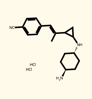 C/C(=C\c1ccc(C#N)cc1)C1CC1N[C@H]1CC[C@H](N)CC1.Cl.Cl